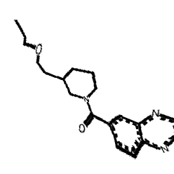 CCOCC1CCCN(C(=O)c2ccc3nccnc3c2)C1